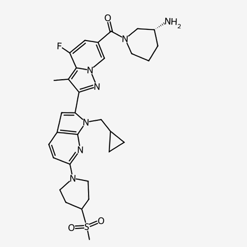 Cc1c(-c2cc3ccc(N4CCC(S(C)(=O)=O)CC4)nc3n2CC2CC2)nn2cc(C(=O)N3CCC[C@@H](N)C3)cc(F)c12